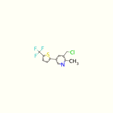 Cc1ncc(-c2ccc(C(F)(F)F)s2)cc1CCl